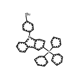 CC(C)(C)c1ccc(-n2c3ccccc3c3cc(S(c4ccccc4)(c4ccccc4)c4ccccc4)ccc32)cc1